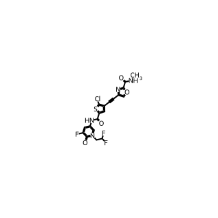 CNC(=O)c1nc(C#Cc2cc(C(=O)Nc3cc(F)c(=O)n(CC(F)F)c3)sc2Cl)co1